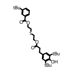 CC(C)(C)c1cccc(C(=O)OCCSCCOC(=O)CCc2cc(C(C)(C)C)c(O)c(C(C)(C)C)c2)c1